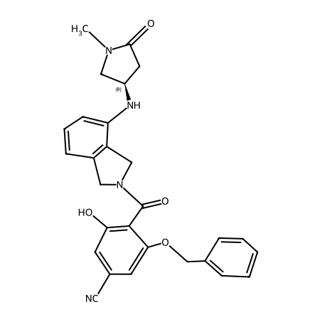 CN1C[C@H](Nc2cccc3c2CN(C(=O)c2c(O)cc(C#N)cc2OCc2ccccc2)C3)CC1=O